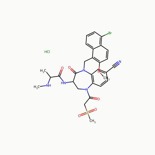 CNC(C)C(=O)NC1CN(C(=O)CS(C)(=O)=O)c2ccc(C#N)cc2N(Cc2c(OC)ccc3c(Br)cccc23)C1=O.Cl